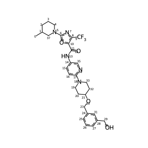 CC1CCCN(c2nc(C(F)(F)F)c(C(=O)Nc3ccc(N4CCC(OCc5cccc(CO)c5)CC4)nc3)o2)C1